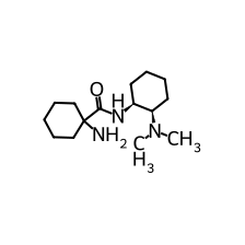 CN(C)[C@@H]1CCCC[C@@H]1NC(=O)C1(N)CCCCC1